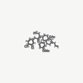 C=CCN1CC[C@@]2(c3cccc(OC)c3)C[C@H](N(CC(C)C)C(=O)Cc3ccc(Cl)c(Cl)c3)CC[C@]2(OC(C)=O)C1